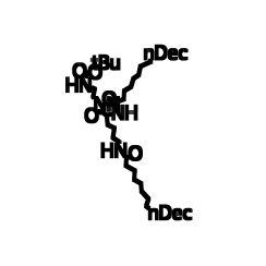 CCCCCCCCCCCCCCCCCC(=O)NCCCCC(NC(=O)CCCCCCCCCCCCCCCCC)C(=O)NCCNC(=O)OC(C)(C)C